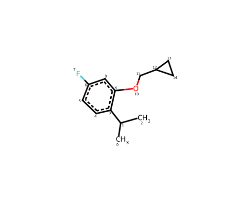 CC(C)c1ccc(F)cc1OCC1CC1